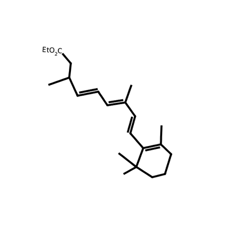 CCOC(=O)CC(C)C=CC=C(C)C=CC1=C(C)CCCC1(C)C